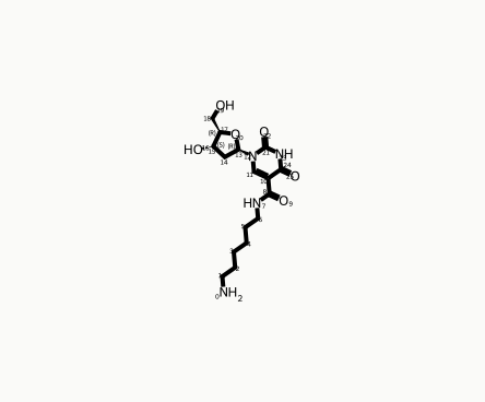 NCCCCCCNC(=O)c1cn([C@H]2C[C@H](O)[C@@H](CO)O2)c(=O)[nH]c1=O